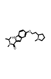 CC(C)N(C)C(=O)c1cc2cc(OCCC3CCCN3C)ccc2[nH]1